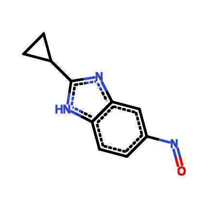 O=Nc1ccc2[nH]c(C3CC3)nc2c1